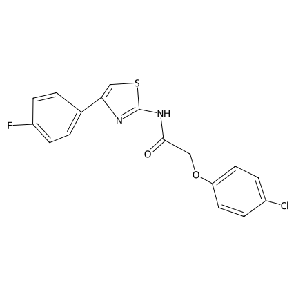 O=C(COc1ccc(Cl)cc1)Nc1nc(-c2ccc(F)cc2)cs1